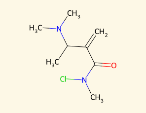 C=C(C(=O)N(C)Cl)C(C)N(C)C